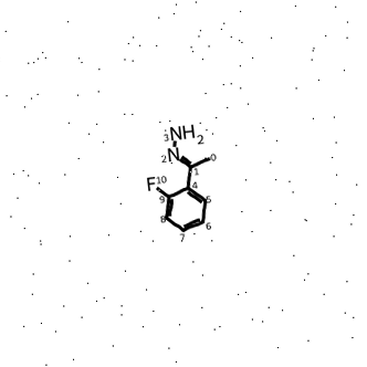 CC(=NN)c1ccccc1F